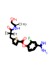 CCC(CC)(Cc1ccc(C(=O)Oc2ccc(C(=N)N)cc2F)s1)C(=O)N[C@H](C=O)CO